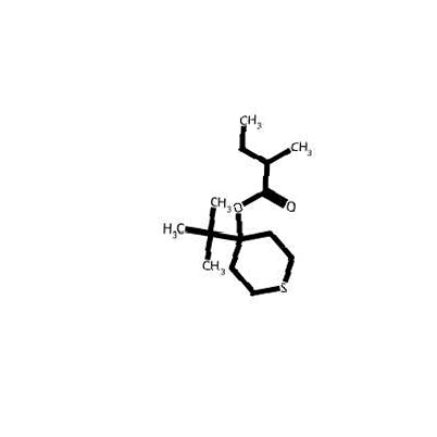 CCC(C)C(=O)OC1(C(C)(C)C)CCSCC1